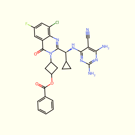 N#Cc1c(N)nc(N)nc1N[C@H](c1nc2c(Cl)cc(F)cc2c(=O)n1C1CC(OC(=O)c2ccccc2)C1)C1CC1